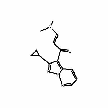 CN(C)C=CC(=O)c1c(C2CC2)nn2ncccc12